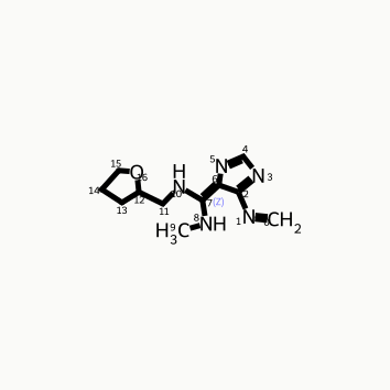 C=NC1=NC=N/C1=C(/NC)NCC1CCCO1